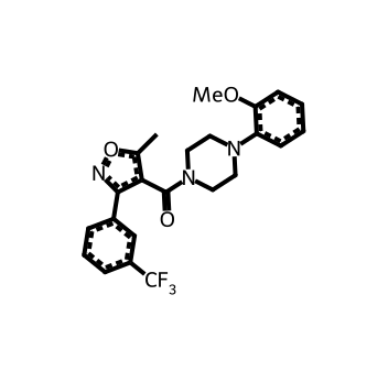 COc1ccccc1N1CCN(C(=O)c2c(-c3cccc(C(F)(F)F)c3)noc2C)CC1